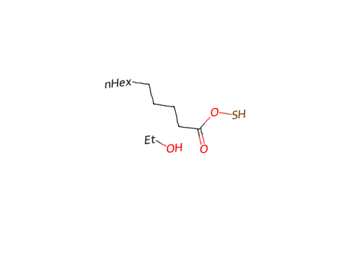 CCCCCCCCCCC(=O)OS.CCO